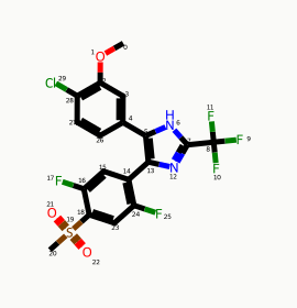 COc1cc(-c2[nH]c(C(F)(F)F)nc2-c2cc(F)c(S(C)(=O)=O)cc2F)ccc1Cl